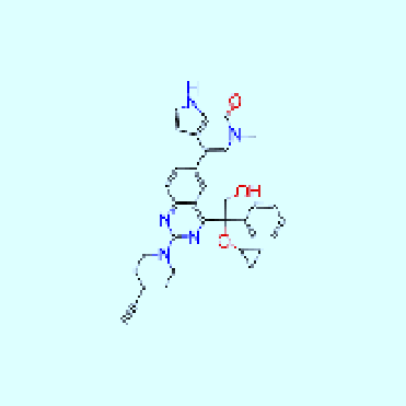 C#CC1CCN(c2nc(C(CO)(OC3CC3)c3ccccc3)c3cc(-c4cn(C)c(=O)c5[nH]ccc45)ccc3n2)CC1